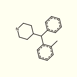 Cc1ccccc1C(c1ccccc1)C1CC[N]CC1